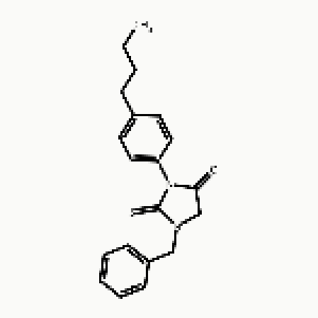 CCCCc1ccc(N2C(=O)CN(Cc3ccccc3)C2=S)cc1